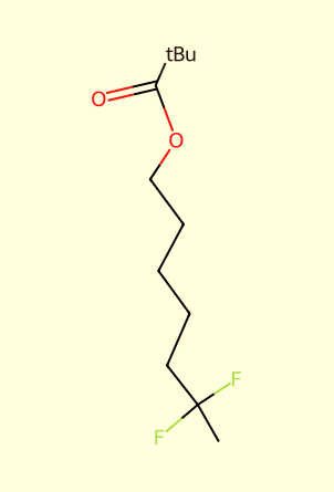 CC(F)(F)CCCCCOC(=O)C(C)(C)C